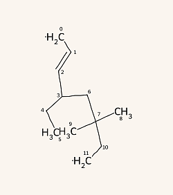 [CH2]/C=C/C(CC)CC(C)(C)C[CH2]